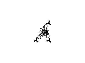 CC(C)COC[Si]1(C)O[Si](C)(COCC(C)C)O[Si](C)(COCC(C)C)O1